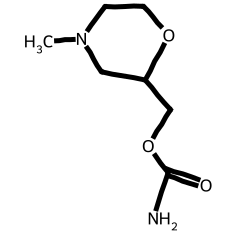 CN1CCOC(COC(N)=O)C1